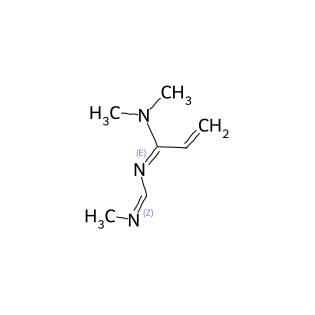 C=C/C(=N\C=N/C)N(C)C